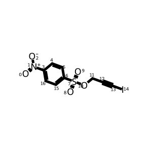 O=[N+]([O-])c1ccc(S(=O)(=O)OCC#CI)cc1